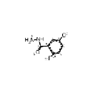 NNC(=O)c1cc(Cl)ccc1F